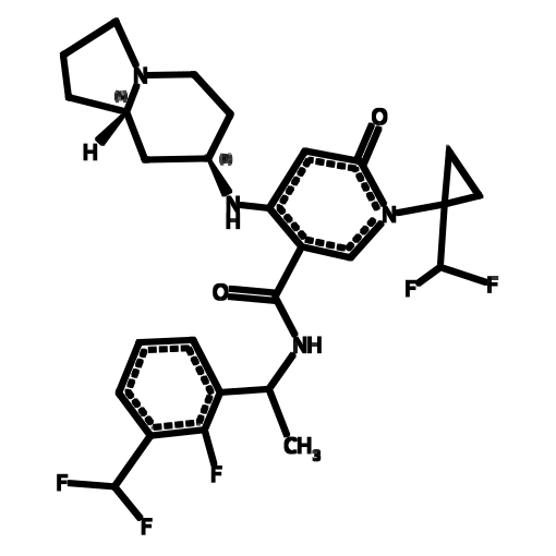 CC(NC(=O)c1cn(C2(C(F)F)CC2)c(=O)cc1N[C@@H]1CCN2CCC[C@H]2C1)c1cccc(C(F)F)c1F